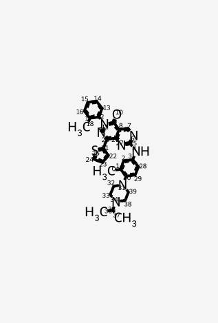 Cc1cc(Nc2ncc3c(=O)n(-c4ccccc4C)nc(-c4cccs4)c3n2)ccc1N1CCN(C(C)C)CC1